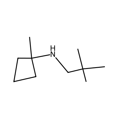 CC(C)(C)CNC1(C)CCC1